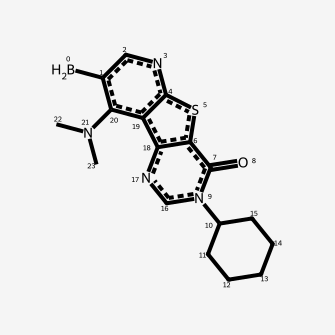 Bc1cnc2sc3c(=O)n(C4CCCCC4)cnc3c2c1N(C)C